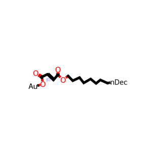 CCCCCCCCCCCCCCCCCCOC(=O)/C=C/C(=O)[O][Au]